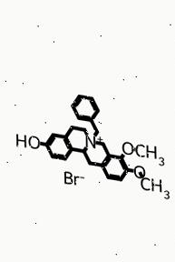 COc1ccc2c(c1OC)C[N+]1(Cc3ccccc3)CCc3cc(O)ccc3C1C2.[Br-]